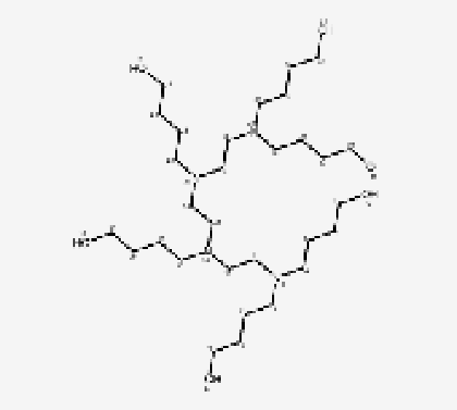 OCCCCN(CCCCO)CCN(CCCCO)CCN(CCCCO)CCN(CCCCO)CCCCO